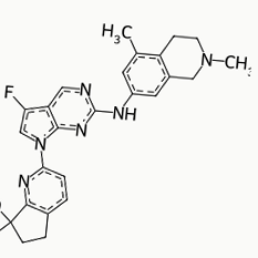 CCC1(O)CCc2ccc(-n3cc(F)c4cnc(Nc5cc(C)c6c(c5)CN(C)CC6)nc43)nc21